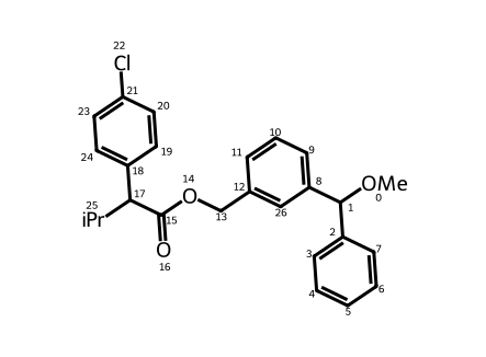 COC(c1ccccc1)c1cccc(COC(=O)C(c2ccc(Cl)cc2)C(C)C)c1